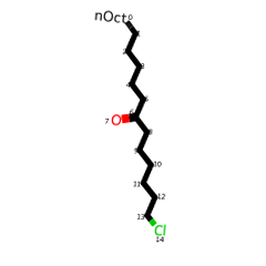 CCCCCCCCCCCCCC(=O)CCCCCCCl